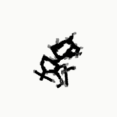 COc1c(C(C)(C)C)ccc(-c2ccc(I)c3c[nH]cc23)c1O[SiH](C)C